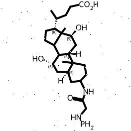 CC(CCC(=O)O)[C@H]1CCC2C3[C@@H](O)C[C@@H]4CC(NC(=O)CNP)CCC4(C)[C@H]3C[C@H](O)C21C